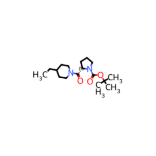 CCC1CCN(C(=O)[C@@H]2CCCN2C(=O)OC(C)(C)C)CC1